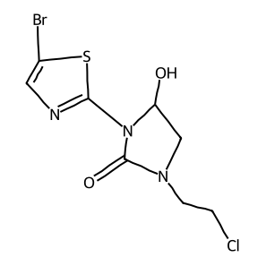 O=C1N(CCCl)CC(O)N1c1ncc(Br)s1